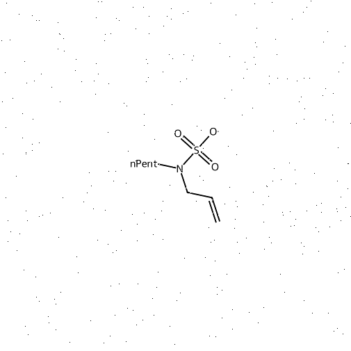 C=CCN(CCCCC)S([O])(=O)=O